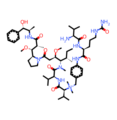 CC[C@H](C)[C@@H]([C@@H](CC(=O)N1CCC[C@H]1[C@H](OC)[C@@H](C)C(=O)N[C@H](C)[C@@H](O)c1ccccc1)OC)N(C)C(=O)[C@@H](NC(=O)[C@H](C(C)C)[N+](C)(C)Cc1ccc(NC(=O)[C@H](CCCNC(N)=O)NC(=O)[C@@H](N)C(C)C)cc1)C(C)C